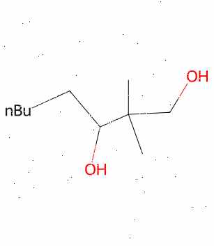 CCCCCC(O)C(C)(C)CO